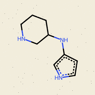 c1cc(NC2CCCNC2)c[nH]1